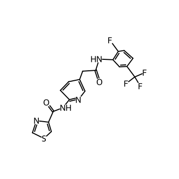 O=C(Cc1ccc(NC(=O)c2cscn2)nc1)Nc1cc(C(F)(F)F)ccc1F